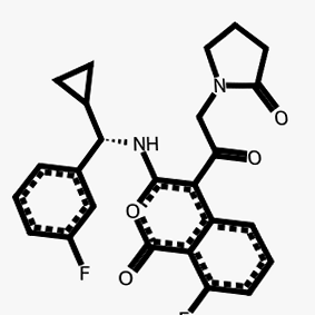 O=C(CN1CCCC1=O)c1c(N[C@H](c2cccc(F)c2)C2CC2)oc(=O)c2c(F)cccc12